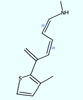 C=C(/C=C\C=C/NC)c1sccc1C